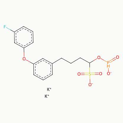 O=[PH]([O-])OC(CCCc1cccc(Oc2cccc(F)c2)c1)S(=O)(=O)[O-].[K+].[K+]